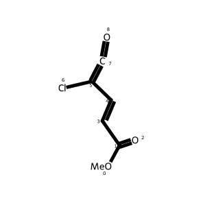 COC(=O)/C=C/C(Cl)=C=O